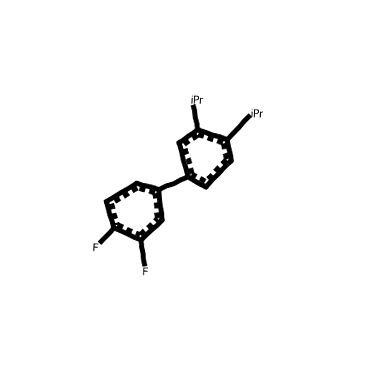 CC(C)c1ccc(-c2ccc(F)c(F)c2)cc1C(C)C